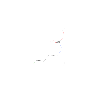 CC(C)(C)OC(=O)N[C@@H](CCCF)C(=O)O